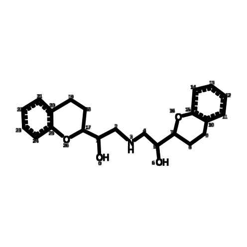 OC(CNCC(O)C1CCc2ccccc2O1)C1CCc2ccccc2O1